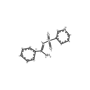 NC(=NS(=O)(=O)c1cccnc1)c1ccccc1